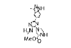 COC(=O)C1CN(c2nc(-c3ccc4[nH]nc(C)c4c3)cnc2N)CCN1